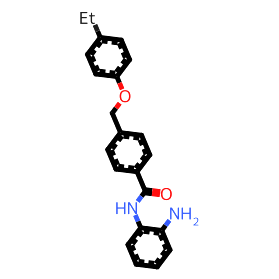 CCc1ccc(OCc2ccc(C(=O)Nc3ccccc3N)cc2)cc1